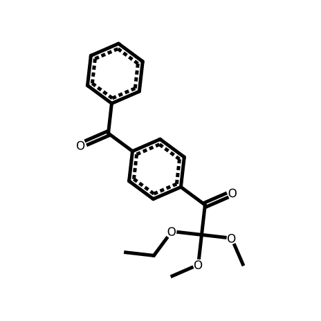 CCOC(OC)(OC)C(=O)c1ccc(C(=O)c2ccccc2)cc1